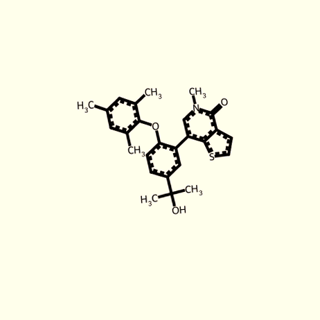 Cc1cc(C)c(Oc2ccc(C(C)(C)O)cc2-c2cn(C)c(=O)c3ccsc23)c(C)c1